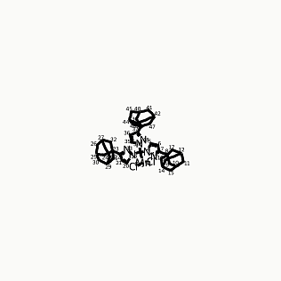 [Cl][Mn]([Cl])[C](n1ccc(C23CC4CC(CC(C4)C2)C3)n1)(n1ccc(C23CC4CC(CC(C4)C2)C3)n1)n1ccc(C23CC4CC(CC(C4)C2)C3)n1